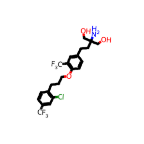 NC(CO)(CO)CCc1ccc(OCCCc2ccc(C(F)(F)F)cc2Cl)c(C(F)(F)F)c1